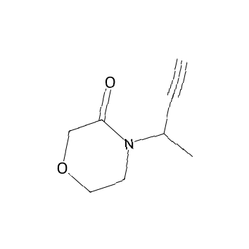 C#CC(C)N1CCOCC1=O